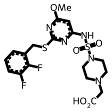 COc1cc(NS(=O)(=O)N2CCN(CC(=O)O)CC2)nc(SCc2cccc(F)c2F)n1